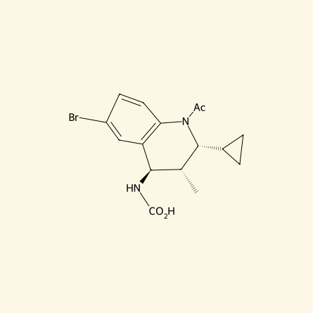 CC(=O)N1c2ccc(Br)cc2[C@H](NC(=O)O)[C@@H](C)[C@H]1C1CC1